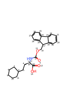 O=C(N[C@H](CCC1CCCCC1)C(=O)O)OCC1c2ccccc2-c2ccccc21